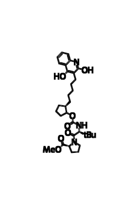 COC(=O)[C@@H]1CCCN1C(=O)[C@@H](NC(=O)OC1CCC[C@H]1CCCCCc1c(O)nc2ccccc2c1O)C(C)(C)C